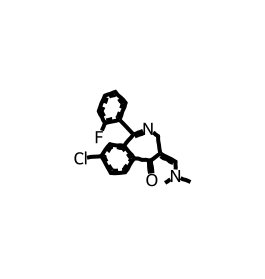 CN(C)C=C1CN=C(c2ccccc2F)c2cc(Cl)ccc2C1=O